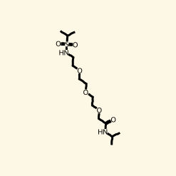 CC(C)NC(=O)COCCOCCOCCNS(=O)(=O)C(C)C